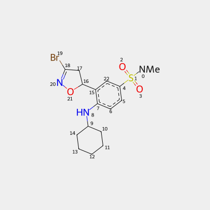 CNS(=O)(=O)c1ccc(NC2CCCCC2)c(C2CC(Br)=NO2)c1